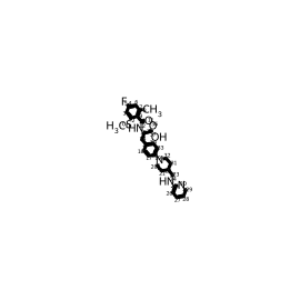 CSc1cc(F)cc(C)c1C(=O)NC(Cc1ccc(N2CCC(CNc3ccccn3)CC2)cc1)C(=O)O